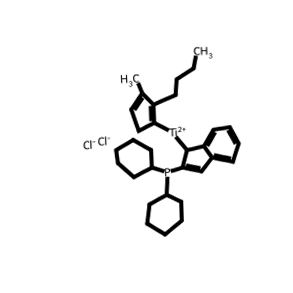 CCCCC1=[C]([Ti+2][CH]2C(P(C3CCCCC3)C3CCCCC3)=Cc3ccccc32)CC=C1C.[Cl-].[Cl-]